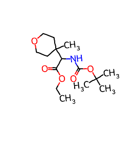 CCOC(=O)C(NC(=O)OC(C)(C)C)C1(C)CCOCC1